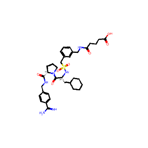 N=C(N)c1ccc(CNC(=O)[C@@H]2CCCN2C(=O)[C@@H](CC2CCCCC2)NS(=O)(=O)Cc2cccc(CNC(=O)CCCC(=O)O)c2)cc1